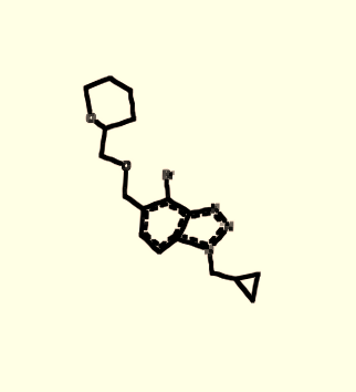 Brc1c(COCC2CCCCO2)ccc2c1nnn2CC1CC1